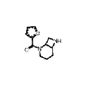 O=C(c1ccco1)N1CCCC2NCC21